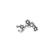 COc1cc(Br)ccc1OCCc1c2n(c3ccccc13)CCN(Cc1ccccc1)CC2